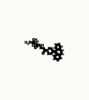 CC(C)(C)OC(=O)NCCC(=O)N1CCC(=C2c3ccccc3C=Cc3ccccc32)CC1